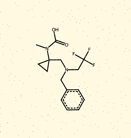 CN(C(=O)O)C1(CN(Cc2ccccc2)CC(F)(F)F)CC1